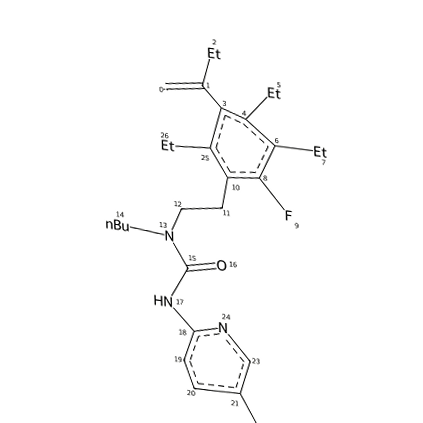 [C]=C(CC)c1c(CC)c(CC)c(F)c(CCN(CCCC)C(=O)Nc2ccc(OC)cn2)c1CC